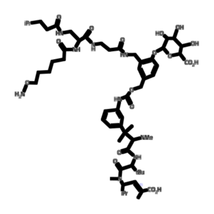 CNC(C(=O)NC(C(=O)N(C)C(/C=C(\C)C(=O)O)C(C)C)C(C)(C)C)C(C)(C)c1cccc(NC(=O)OCc2ccc(OC3OC(C(=O)O)C(O)C(O)C3O)c(CNC(=O)CCNC(=O)C(CNC(=O)CCC(C)C)NC(=O)CCCCCON)c2)c1